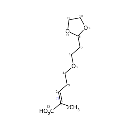 C/C(=C\CCOCCC1OCCO1)C(=O)O